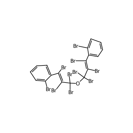 BrC(=C(Br)C(Br)(Br)OC(Br)(Br)C(Br)=C(Br)c1ccccc1Br)c1ccccc1Br